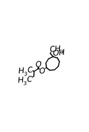 CCC(C)C(=O)OC1CCCCCC(O)(CC)CC1